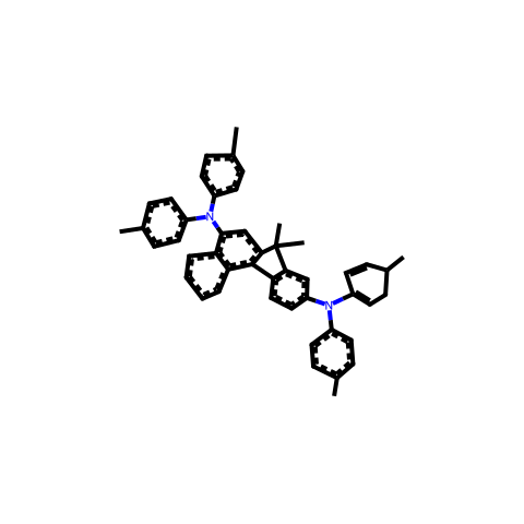 Cc1ccc(N(C2=CCC(C)C=C2)c2ccc3c(c2)C(C)(C)c2cc(N(c4ccc(C)cc4)c4ccc(C)cc4)c4ccccc4c2-3)cc1